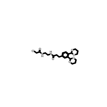 O=C(CCl)NCCNC(=O)CCc1ccc(C2OCCCO2)c(C2OCCCO2)c1